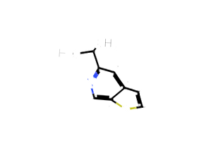 CC(C)c1cc2ccsc2cn1